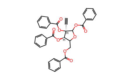 C#C[C@]1(OC(=O)c2ccccc2)C(OC(=O)c2ccccc2)OC(COC(=O)c2ccccc2)[C@H]1OC(=O)c1ccccc1